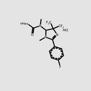 CCCCCCC(=O)N(C)C1N(C)C(c2ccc(F)cc2)=NC1(C(F)(F)F)C(F)(F)F.Cl